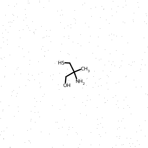 CC(N)(CO)CS